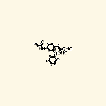 C=CC(=O)Nc1ccc(C=C(C=O)C=O)c(Oc2ccccc2)c1